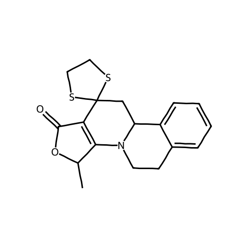 CC1OC(=O)C2=C1N1CCc3ccccc3C1CC21SCCS1